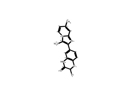 CCC1Oc2ccc(-c3nc4cc(C)ccn4c3C)cc2NC1=O